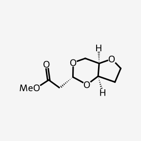 COC(=O)C[C@@H]1OC[C@H]2OCC[C@H]2O1